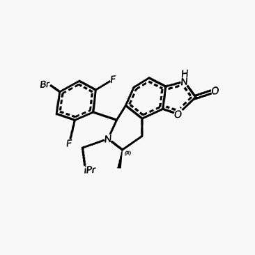 CC(C)CN1C(c2c(F)cc(Br)cc2F)c2ccc3[nH]c(=O)oc3c2C[C@H]1C